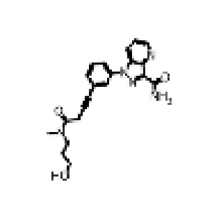 CN(CCCO)C(=O)CC#Cc1cccc(-n2nc(C(N)=O)c3ncccc32)c1